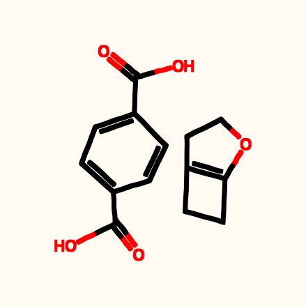 C1CC2=C(CC2)O1.O=C(O)c1ccc(C(=O)O)cc1